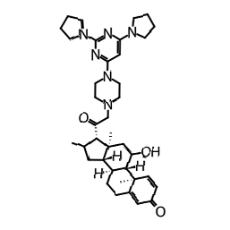 CC1C[C@H]2[C@@H]3CCC4=CC(=O)C=C[C@]4(C)[C@H]3C(O)C[C@]2(C)[C@H]1C(=O)CN1CCN(c2cc(N3CCCC3)nc(N3CCCC3)n2)CC1